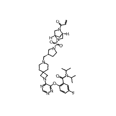 C=CC(=O)N1C[C@@H]2C[C@H]1CN2S(=O)(=O)N1CC[C@@H](CN2CCC3(CC2)CN(c2ncnnc2Oc2ccc(F)cc2C(=O)N(C(C)C)C(C)C)C3)C1